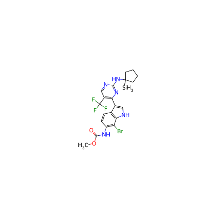 COC(=O)Nc1ccc2c(-c3nc(NC4([SiH3])CCCC4)ncc3C(F)(F)F)c[nH]c2c1Br